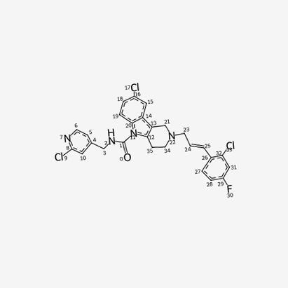 O=C(NCc1ccnc(Cl)c1)n1c2c(c3cc(Cl)ccc31)CN(C/C=C/c1ccc(F)cc1Cl)CC2